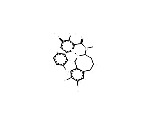 CN1C(=O)c2c(O)c(=O)ccn2N2C1CCCc1cc(F)c(F)cc1[C@@H]2c1ccccc1Br